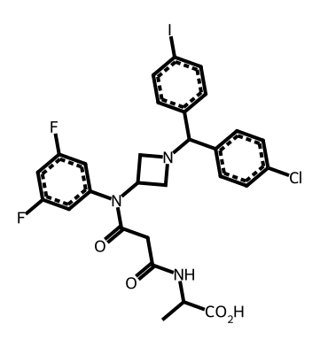 CC(NC(=O)CC(=O)N(c1cc(F)cc(F)c1)C1CN(C(c2ccc(Cl)cc2)c2ccc(I)cc2)C1)C(=O)O